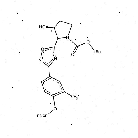 CCCCCCCCCOc1ccc(-c2noc(C3[C@@H](O)CCN3C(=O)OC(C)(C)C)n2)cc1C(F)(F)F